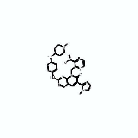 CN1CCC(Nc2ccc(Nc3ncc4cc(-c5nccn5C)c(=O)n(Cc5nccnc5[S+](C)[O-])c4n3)cc2)CC1